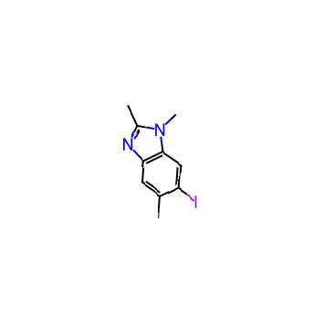 Cc1cc2nc(C)n(C)c2cc1I